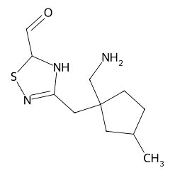 CC1CCC(CN)(CC2=NSC(C=O)N2)C1